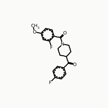 COc1ccc(C(=O)N2CCC(C(=O)c3ccc(F)cc3)CC2)c(F)c1